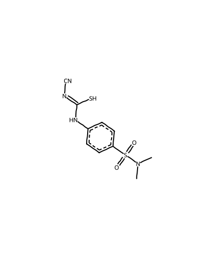 CN(C)S(=O)(=O)c1ccc(N/C(S)=N/C#N)cc1